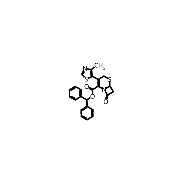 Cc1ncsc1C1=C(C(=O)OC(c2ccccc2)c2ccccc2)N2C(=O)CC2SC1